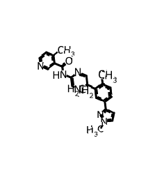 C=C(/C=N\C(=C/N)NC(=O)c1cnccc1C)c1cc(-c2ccn(C)n2)ccc1C